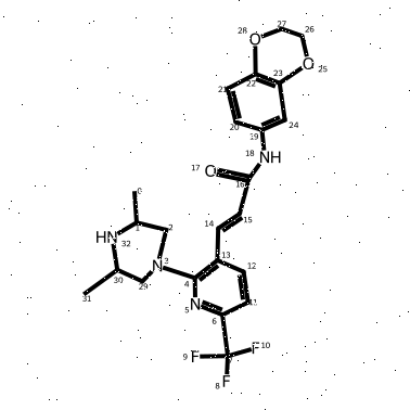 CC1CN(c2nc(C(F)(F)F)ccc2/C=C/C(=O)Nc2ccc3c(c2)OCCO3)CC(C)N1